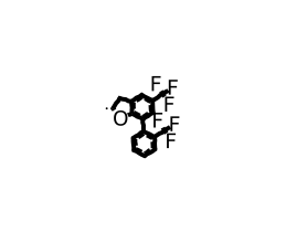 FC(F)(F)c1cc2c(c(-c3ccccc3C(F)(F)F)c1)O[CH]C2